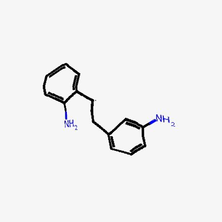 Nc1cccc(C[CH]c2ccccc2N)c1